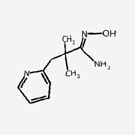 CC(C)(Cc1ccccn1)C(N)=NO